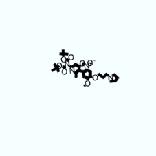 COc1cc(-c2ccc(N(C(=O)OC(C)(C)C)C(=O)OC(C)(C)C)nc2C)c([N+](=O)[O-])cc1OCCCN1CCCC1